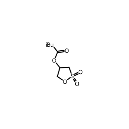 CCC(C)C(=O)OC1COS(=O)(=O)C1